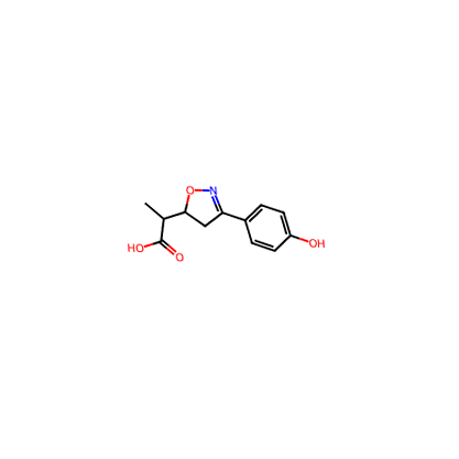 CC(C(=O)O)C1CC(c2ccc(O)cc2)=NO1